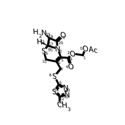 CC(=O)OCOC(=O)C1=C(CSc2nnc(C)s2)CS[C@@H]2C(N)C(=O)N12